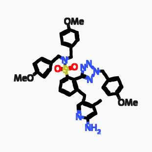 COc1ccc(CN(Cc2ccc(OC)cc2)S(=O)(=O)c2cccc(Cc3cnc(N)cc3C)c2-c2nnn(Cc3ccc(OC)cc3)n2)cc1